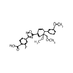 COCC1(OC)C=C(c2nc(-c3ccc(C(=O)O)c(F)c3)no2)C=CC1c1cccc(OC)c1